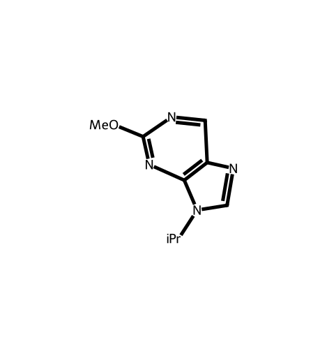 COc1ncc2ncn(C(C)C)c2n1